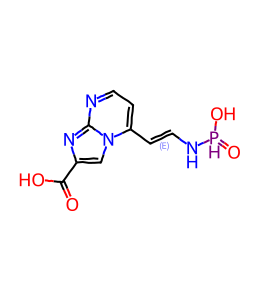 O=C(O)c1cn2c(/C=C/N[PH](=O)O)ccnc2n1